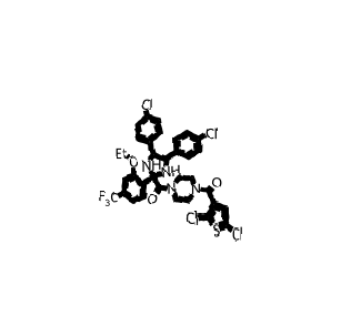 CCOc1cc(C(F)(F)F)ccc1C1(C(=O)N2CCN(C(=O)c3cc(Cl)sc3Cl)CC2)NC(c2ccc(Cl)cc2)C(c2ccc(Cl)cc2)N1